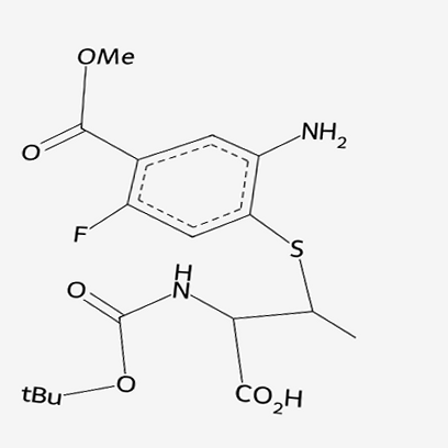 COC(=O)c1cc(N)c(SC(C)C(NC(=O)OC(C)(C)C)C(=O)O)cc1F